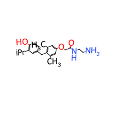 Cc1cc(OCC(=O)NCCN)cc(C)c1Cc1ccc(O)c(C(C)C)c1